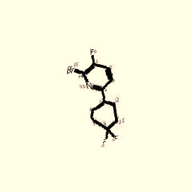 Fc1ccc(C2=CCC(F)(F)CC2)nc1Br